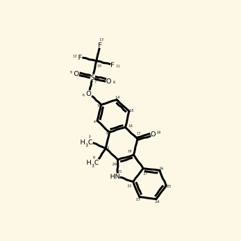 CC1(C)c2cc(OS(=O)(=O)C(F)(F)F)ccc2C(=O)c2c1[nH]c1ccccc21